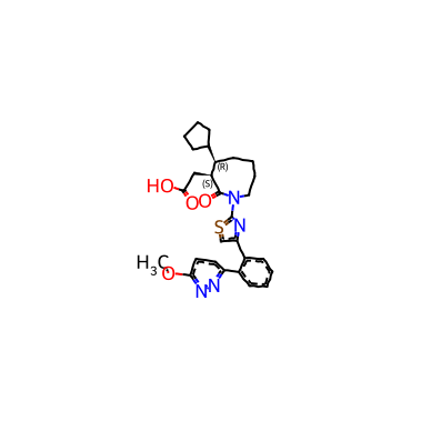 COc1ccc(-c2ccccc2-c2csc(N3CCCC[C@H](C4CCCC4)[C@H](CC(=O)O)C3=O)n2)nn1